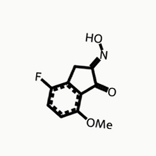 COc1ccc(F)c2c1C(=O)/C(=N/O)C2